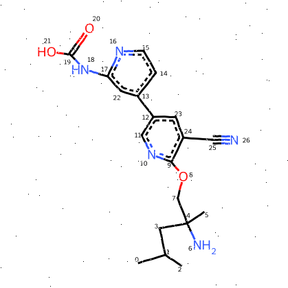 CC(C)CC(C)(N)COc1ncc(-c2ccnc(NC(=O)O)c2)cc1C#N